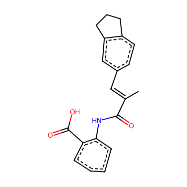 C/C(=C\c1ccc2c(c1)CCC2)C(=O)Nc1ccccc1C(=O)O